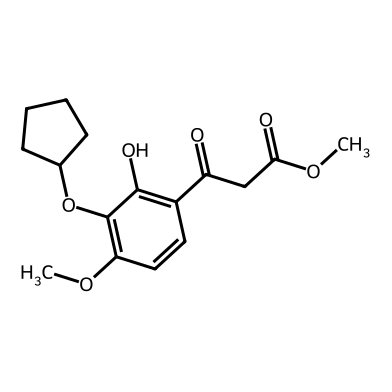 COC(=O)CC(=O)c1ccc(OC)c(OC2CCCC2)c1O